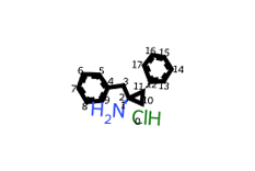 Cl.N[C@]1(Cc2ccccc2)C[C@H]1c1ccccc1